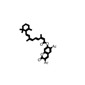 CC(=O)c1cc2cc(C(C)=O)c(=O)oc2cc1OC(=O)C=C(C)C=CC=C(C)C=CC1=C(C)CCCC1(C)C